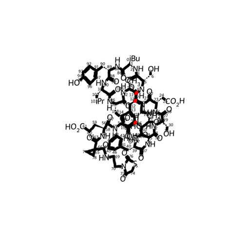 CC[C@H](C)[C@H](NC(=O)[C@H](CO)NC(=O)[C@H](Cc1ccc(O)cc1)NC(=O)[C@H](CC(=O)O)NC(=O)[C@H](CO)NC(=O)[C@@H](NC(=O)[C@H](Cc1ccccc1)NC(=O)[C@@H](NC(=O)CNC(=O)[C@H](CCC(=O)O)NC(=O)C1(C(=O)NCCN2C(=O)CSC2=O)CC1)[C@@H](C)O)[C@@H](C)O)C(=O)N[C@@H](Cc1ccc(O)cc1)C(=O)N[C@@H](CC(C)C)C(=O)N[C@@H](CC(=O)O)C(=O)N[C@H](C)CCCCN